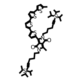 CC1=C2C(=O)N(CCCCC#C[Si](C(C)C)(C(C)C)C(C)C)C(c3ccc(-c4ccc(-c5ccc(-c6ccc(C)s6)s5)s4)s3)=C2C(=O)N1CCCCC#C[Si](C(C)C)(C(C)C)C(C)C